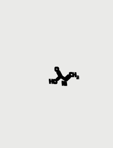 C=CC(=O)O.[Ni]